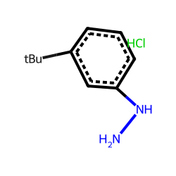 CC(C)(C)c1cccc(NN)c1.Cl